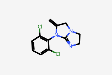 C=C1CN2CCN=C2N1c1c(Cl)cccc1Cl